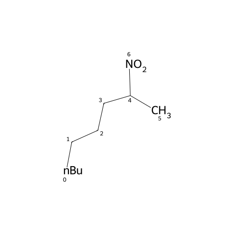 CCCCCCCC(C)[N+](=O)[O-]